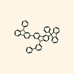 c1ccc(-c2cccc(-n3c4ccc(C5(c6ccccc6)c6ccccc6-c6ccccc65)cc4c4ccc(-c5ccc6c7ccccc7n(-c7ccccc7)c6c5)cc43)c2)cc1